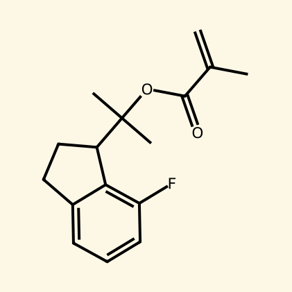 C=C(C)C(=O)OC(C)(C)C1CCc2cccc(F)c21